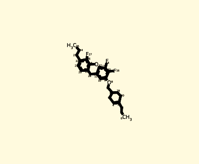 CCCC1=CCC(COc2cc3c(c(F)c2F)Oc2c(ccc(CCC)c2F)C3)CC1